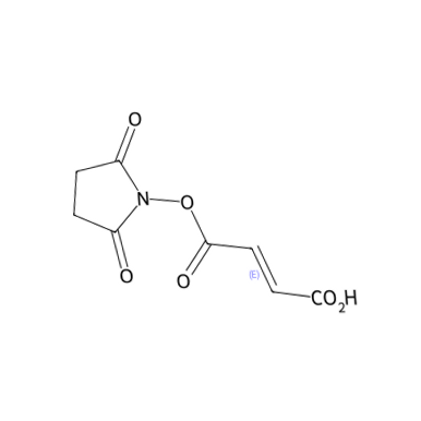 O=C(O)/C=C/C(=O)ON1C(=O)CCC1=O